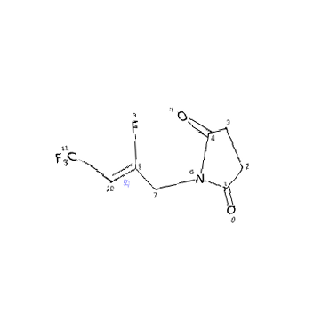 O=C1CCC(=O)N1C/C(F)=C/C(F)(F)F